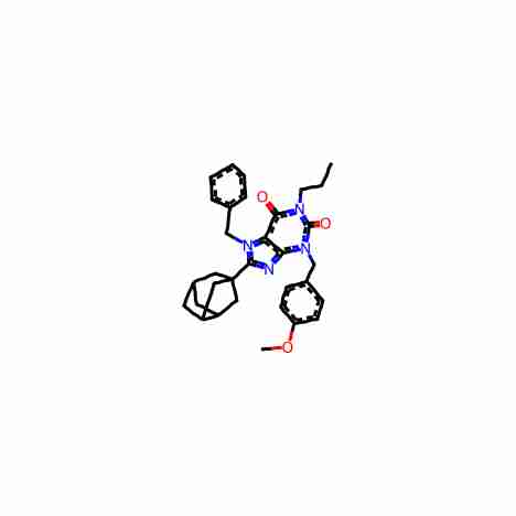 CCCn1c(=O)c2c(nc(C34CC5CC(C3)C(C5)C4)n2Cc2ccccc2)n(Cc2ccc(OC)cc2)c1=O